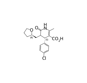 CC1=C(C(=O)O)[C@H](c2ccc(Cl)cc2)C(C[C@H]2CCCO2)C(=O)N1